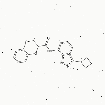 O=C(Nc1cccn2c(C3CCC3)nnc12)C1COc2ccccc2O1